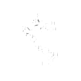 CCN(C(=O)c1cc(F)ccc1Oc1cncnc1N1CC[C@H](CN2CC3(CCC(NS(=O)(=O)CC)CC3)C2)C1)C(C)C